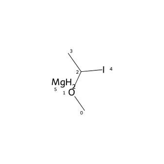 COC(C)I.[MgH2]